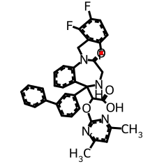 Cc1cc(C)nc(OC(C(=O)O)C2(c3cccc(-c4ccccc4)c3)NCC(=O)N(Cc3c(F)ccc(F)c3F)c3ccccc32)n1